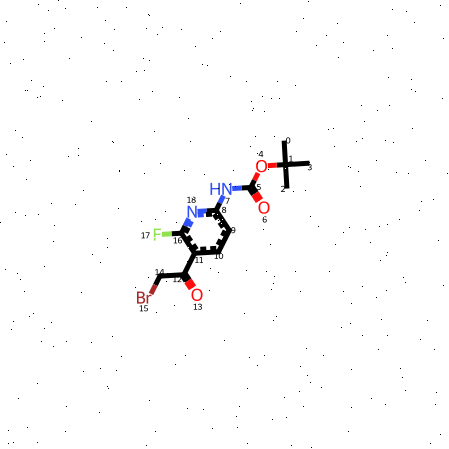 CC(C)(C)OC(=O)Nc1ccc(C(=O)CBr)c(F)n1